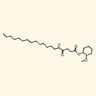 CCCCCCCCCCCCCCNC(=O)CCC(=O)OC1CCCCC1OC